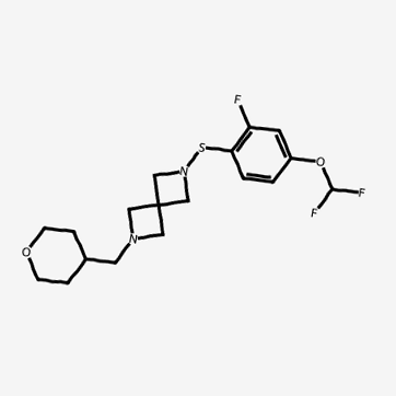 Fc1cc(OC(F)F)ccc1SN1CC2(CN(CC3CCOCC3)C2)C1